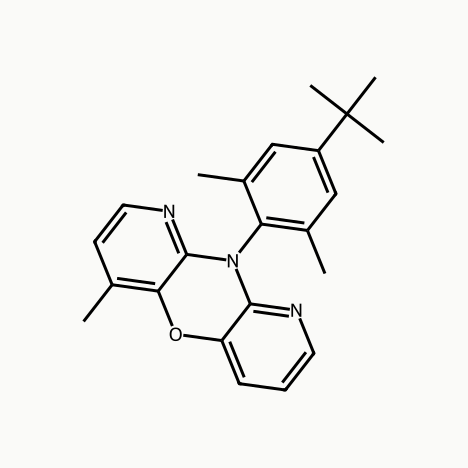 Cc1ccnc2c1Oc1cccnc1N2c1c(C)cc(C(C)(C)C)cc1C